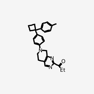 CCC(=O)c1ncc2c(n1)CN(c1ccc(C3(c4ccc(C)cc4)CCC3)cc1)CC2